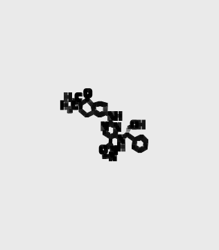 CC1(C)CCc2cc(Nc3ncc(-c4nnco4)c(N[C@H](CO)c4ccccc4)n3)ccc2C1=O